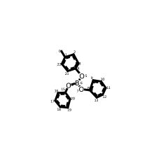 Cc1ccc(OB(Oc2ccccc2)Oc2ccccc2)cc1